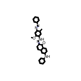 COc1cc(/N=N/c2ccccc2)c(C)cc1N/N=C1/C=Cc2cc(Nc3ccccc3)ccc2C1=O